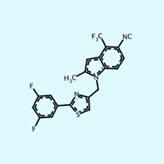 [C-]#[N+]c1ccc2c(cc(C)n2Cc2csc(-c3cc(F)cc(F)c3)n2)c1C(F)(F)F